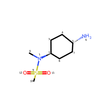 CN([C@H]1CC[C@H](N)CC1)S(C)(=O)=O